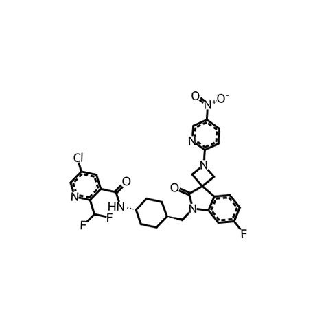 O=C(N[C@H]1CC[C@H](CN2C(=O)C3(CN(c4ccc([N+](=O)[O-])cn4)C3)c3ccc(F)cc32)CC1)c1cc(Cl)cnc1C(F)F